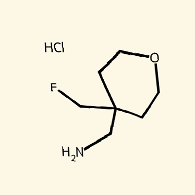 Cl.NCC1(CF)CCOCC1